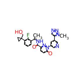 C[C@@H](NC(=O)c1ccc(=O)n(-c2cncc(-c3cnnn3C)c2)n1)c1cccc(C2(CO)CC2)c1F